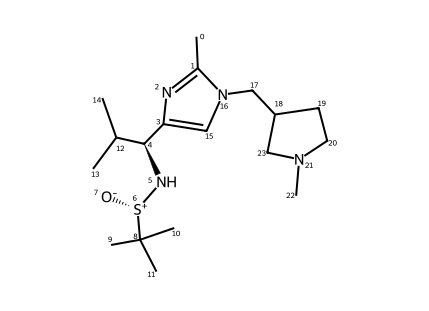 Cc1nc([C@@H](N[S@@+]([O-])C(C)(C)C)C(C)C)cn1CC1CCN(C)C1